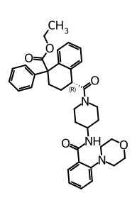 CCOC(=O)C1(c2ccccc2)CC[C@@H](C(=O)N2CCC(NC(=O)c3ccccc3N3CCOCC3)CC2)c2ccccc21